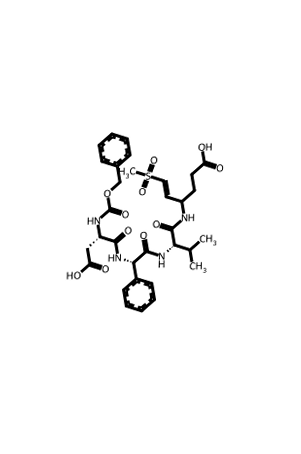 CC(C)[C@H](NC(=O)[C@@H](NC(=O)[C@H](CC(=O)O)NC(=O)OCc1ccccc1)c1ccccc1)C(=O)NC(/C=C/S(C)(=O)=O)CCC(=O)O